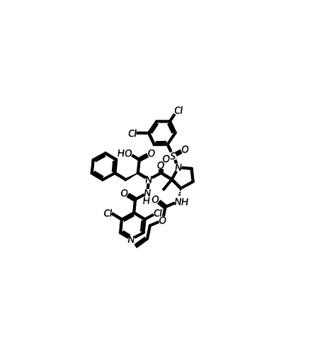 C=CCOC(=O)N[C@H]1CCN(S(=O)(=O)c2cc(Cl)cc(Cl)c2)C1(C)C(=O)N(NC(=O)c1c(Cl)cncc1Cl)[C@@H](Cc1ccccc1)C(=O)O